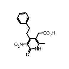 Cc1[nH]c(=O)c([N+](=O)[O-])c(CCc2ccccc2)c1CC(=O)O